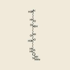 CNC(=S)Nc1ccc(NC(=S)NCCCCCN(O)C(=O)CCC(=O)NCCCCCN(O)C(=O)CCC(=O)NCCCCCN(O)C(C)=O)cc1